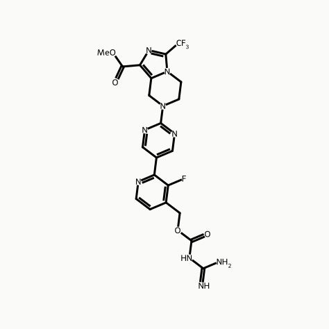 COC(=O)c1nc(C(F)(F)F)n2c1CN(c1ncc(-c3nccc(COC(=O)NC(=N)N)c3F)cn1)CC2